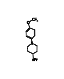 CCCC1CCN(c2ccc(OC(F)(F)F)cc2)CC1